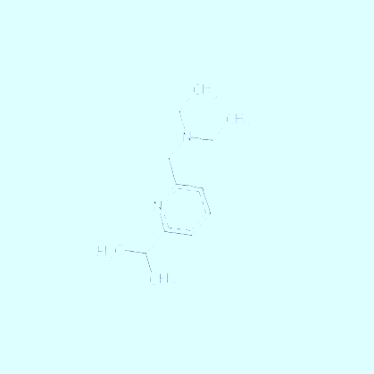 CCN(CC)Cc1cccc(C(C)C)n1